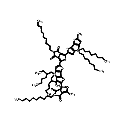 CCCCCCCCCCN1C(=O)c2c(C)sc(-c3cc4c(s3)-c3sc(-c5sc(-c6cc7c(s6)-c6sc(C)cc6[Si]7(CCCCCCCC)CCCCCCCC)c6c5C(=O)N(CCCCCCCCCC)C6=O)cc3[Si]4(CC(CC)CCCC)CC(CC)CCCC)c2C1=O